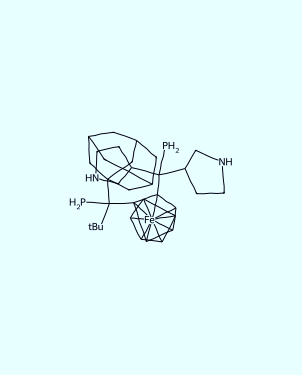 CC(C)(C)C(P)(C12CC3CC(CC(C3)C1)C2)[C]12[CH]3[CH]4[CH]5[C]1(C(P)(C1CCNC1)C1CCNC1)[Fe]45321678[CH]2[CH]1[CH]6[CH]7[CH]28